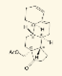 CC(=O)OC[C@]12CC[C@H]3[C@@H](CC=C4C=CCC[C@@H]43)[C@@H]1CCC2=O